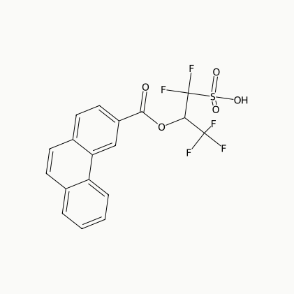 O=C(OC(C(F)(F)F)C(F)(F)S(=O)(=O)O)c1ccc2ccc3ccccc3c2c1